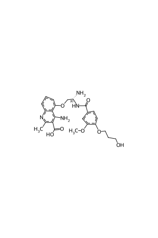 COc1cc(C(=O)N[C@@H](N)COc2cccc3nc(C)c(C(=O)O)c(N)c23)ccc1OCCCO